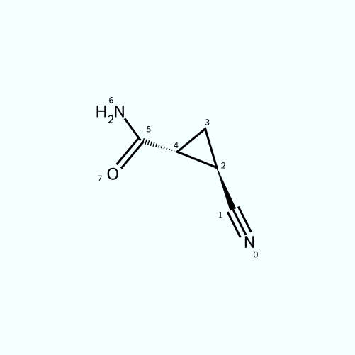 N#C[C@@H]1C[C@H]1C(N)=O